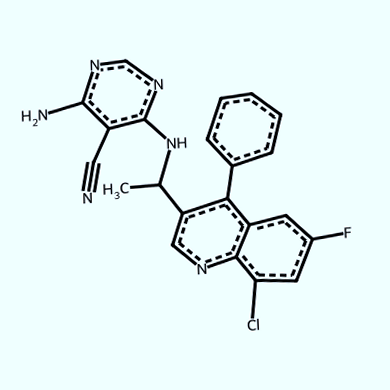 CC(Nc1ncnc(N)c1C#N)c1cnc2c(Cl)cc(F)cc2c1-c1ccccc1